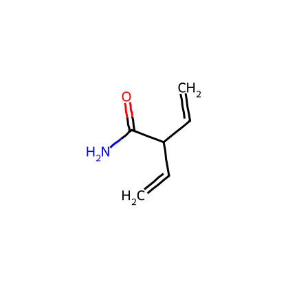 C=CC(C=C)C(N)=O